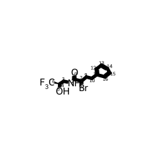 O=C(NC[C@@H](O)C(F)(F)F)C(Br)CCc1ccccc1